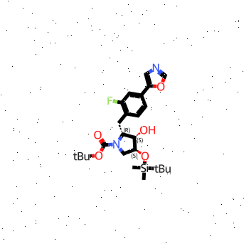 CC(C)(C)OC(=O)N1C[C@H](O[Si](C)(C)C(C)(C)C)[C@@H](O)[C@H]1Cc1ccc(-c2cnco2)cc1F